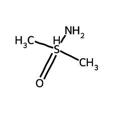 C[SH](C)(N)=O